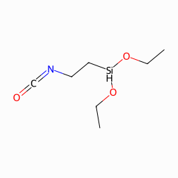 CCO[SiH](CCN=C=O)OCC